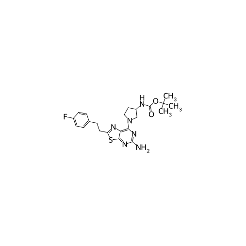 CC(C)(C)OC(=O)NC1CCN(c2nc(N)nc3sc(CCc4ccc(F)cc4)nc23)C1